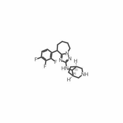 Fc1ccc(C2CCCCn3nc(NC4[C@@H]5CC[C@H]4CNC5)nc32)c(F)c1F